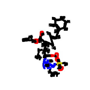 CC(C)C[C@@H](C(=O)NN(CC(C)C)S(C)(=O)=O)[C@H](CC=Cc1ccccc1)C(=O)OC(C)(C)C